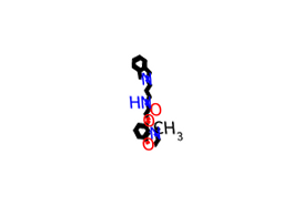 CN1CCOc2cccc(OCC(=O)NCCCN3Cc4ccccc4C3)c21